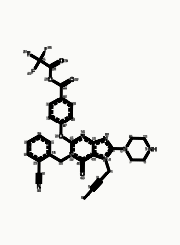 CC#CCn1c(N2CCNCC2)nc2nc(Oc3ccc(C(=O)OC(=O)C(F)(F)F)cc3)n(Cc3ccccc3C#N)c(=O)c21